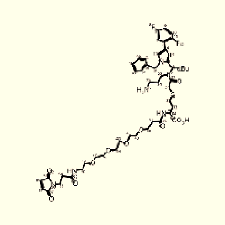 CC(C)(C)[C@H](c1nc(-c2cc(F)ccc2F)cn1Cc1ccccc1)N(CCCN)C(=O)CSCC[C@H](NC(=O)CCOCCOCCOCCOCCNC(=O)CCN1C(=O)C=CC1=O)C(=O)O